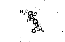 Cc1ccc2c(=O)n(CC3(O)CCN(C(=O)[C@H](C)Cc4ccccc4)CC3)cnc2c1